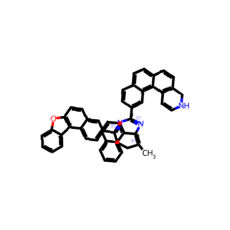 C\C1=C(c2cccc3ccccc23)/N=C(c2ccc3ccc4ccc5c(c4c3c2)C=CNC5)\N=C(\c2ccc3c(ccc4oc5ccccc5c43)c2)CC1